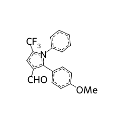 COc1ccc(-c2c(C=O)cc(C(F)(F)F)n2-c2ccccc2)cc1